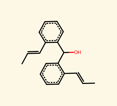 CC=Cc1ccccc1C(O)c1ccccc1C=CC